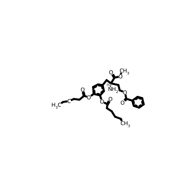 CCCCCC(=O)Oc1ccc(C[C@](N)(CCOC(=O)c2ccccc2)C(=O)OC)cc1OC(=O)CCCCC